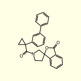 O=C1OC2(CCN(C(=O)C3(c4cccc(-c5ccccc5)c4)CC3)C2)c2ccccc21